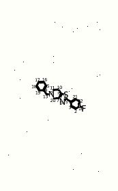 Fc1ccc(-c2nc3c(s2)CCN(Cc2ccccc2)C3)cc1